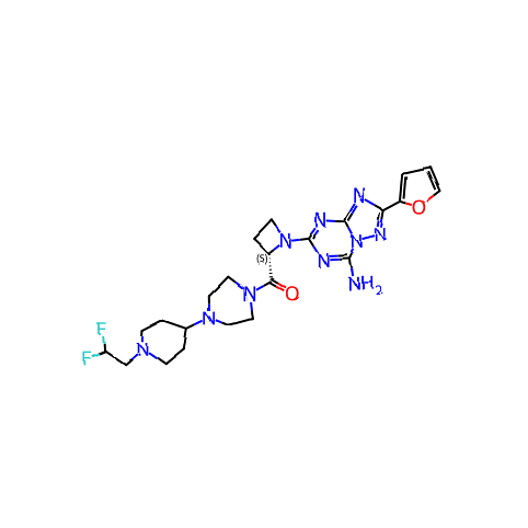 Nc1nc(N2CC[C@H]2C(=O)N2CCN(C3CCN(CC(F)F)CC3)CC2)nc2nc(-c3ccco3)nn12